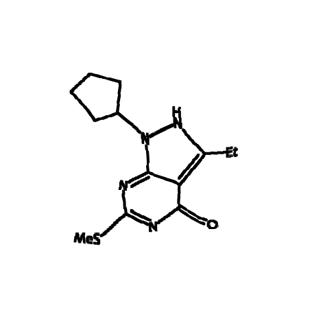 CCc1[nH]n(C2CCCC2)c2nc(SC)nc(=O)c1-2